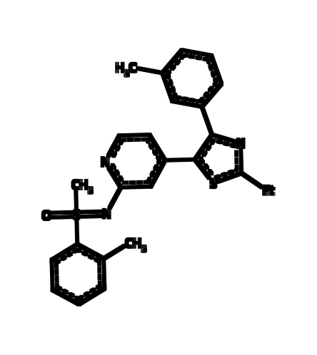 CCc1nc(-c2cccc(C)c2)c(-c2ccnc(N=S(C)(=O)c3ccccc3C)c2)s1